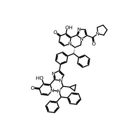 O=C(c1cnc2n1C[C@H](C(c1ccccc1)c1cccc(-c3cn4c(n3)-c3c(O)c(=O)ccn3N(C(c3ccccc3)c3ccccc3)C4C3CC3)c1)n1ccc(=O)c(O)c1-2)N1CCCC1